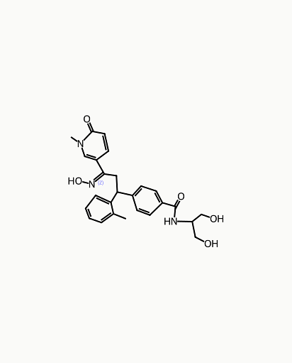 Cc1ccccc1C(C/C(=N/O)c1ccc(=O)n(C)c1)c1ccc(C(=O)NC(CO)CO)cc1